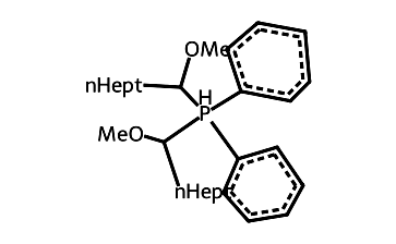 CCCCCCCC(OC)[PH](c1ccccc1)(c1ccccc1)C(CCCCCCC)OC